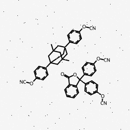 CC12CC3(C)CC(c4ccc(OC#N)cc4)(C1)CC(c1ccc(OC#N)cc1)(C2)C3.N#COc1ccc(C2(c3ccc(OC#N)cc3)OC(=O)c3ccccc32)cc1